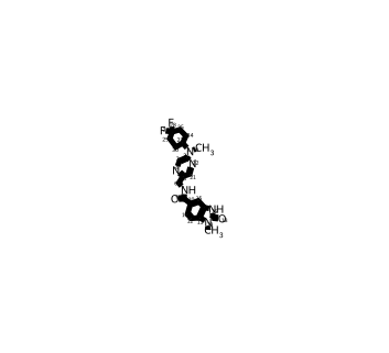 CN(c1cnc(CNC(=O)c2ccc3c(c2)[nH]c(=O)n3C)cn1)C1CCC(F)(F)CC1